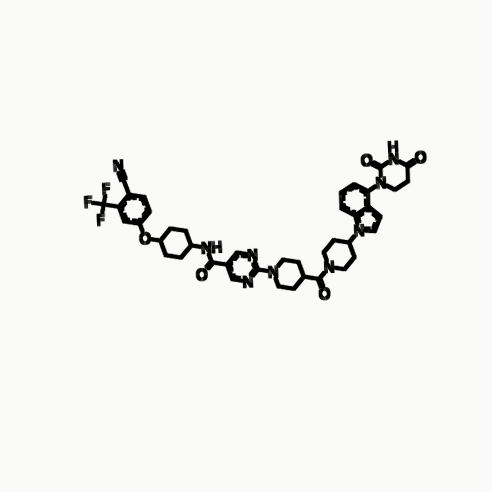 N#Cc1ccc(OC2CCC(NC(=O)c3cnc(N4CCC(C(=O)N5CCC(n6ccc7c(N8CCC(=O)NC8=O)cccc76)CC5)CC4)nc3)CC2)cc1C(F)(F)F